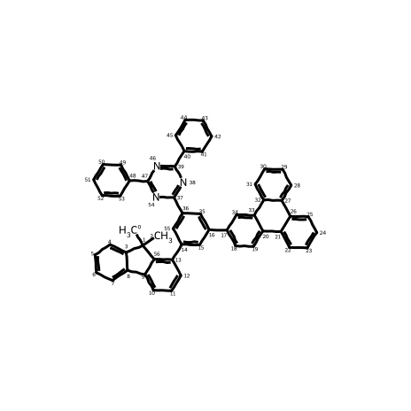 CC1(C)c2ccccc2-c2cccc(-c3cc(-c4ccc5c6ccccc6c6ccccc6c5c4)cc(-c4nc(-c5ccccc5)nc(-c5ccccc5)n4)c3)c21